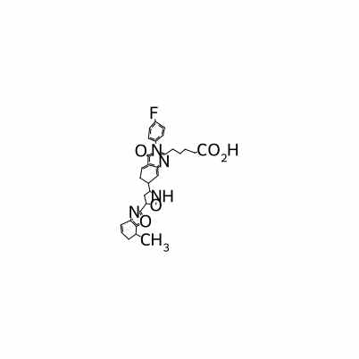 CC1CC=Cc2nc(C3CC(C4C=c5nc(CCCCC(=O)O)n(-c6ccc(F)cc6)c(=O)c5=CC4)NO3)oc21